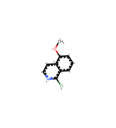 COc1cccc2c(Cl)nccc12